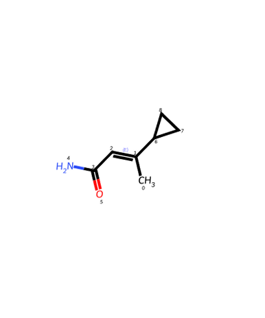 C/C(=C\C(N)=O)C1CC1